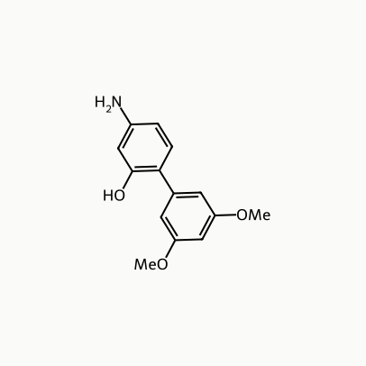 COc1cc(OC)cc(-c2ccc(N)cc2O)c1